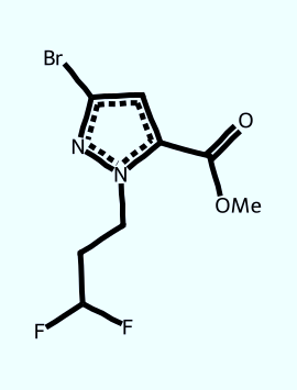 COC(=O)c1cc(Br)nn1CCC(F)F